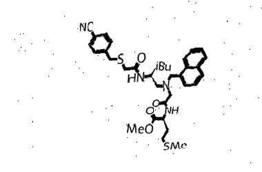 CC[C@H](C)[C@@H](CN(CC(=O)N[C@@H](CCSC)C(=O)OC)Cc1cccc2ccccc12)NC(=O)CSCc1ccc(C#N)cc1